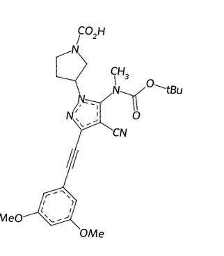 COc1cc(C#Cc2nn(C3CCN(C(=O)O)C3)c(N(C)C(=O)OC(C)(C)C)c2C#N)cc(OC)c1